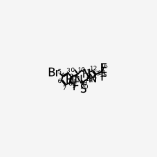 CC1(c2cc(Br)ccc2F)Cn2cc(C(F)F)nc2C(=S)N1